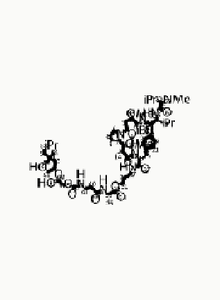 CC[C@H](C)[C@@H]([C@@H](CC(=O)N1CCC[C@H]1[C@H](OC)[C@@H](C)C(=O)N[C@@H](Cc1ccccc1)C(=O)NCCCOC(=O)[C@H](C)NC(=O)CCNC(=O)OCC(O)OC(CO)CC(C)(C)CC(C)C)OC)N(C)C(=O)[C@@H](NC(=O)[C@@H](NC)C(C)C)C(C)C